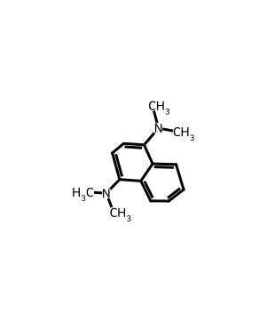 CN(C)c1ccc(N(C)C)c2ccccc12